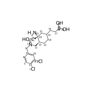 CN(Cc1ccc(Cl)c(Cl)c1)C[C@@H]1CCC(CCB(O)O)C[C@]1(N)C(=O)O